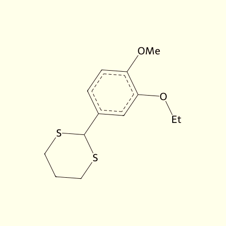 CCOc1cc(C2SCCCS2)ccc1OC